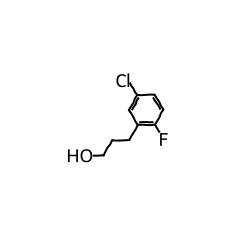 OCCCc1cc(Cl)ccc1F